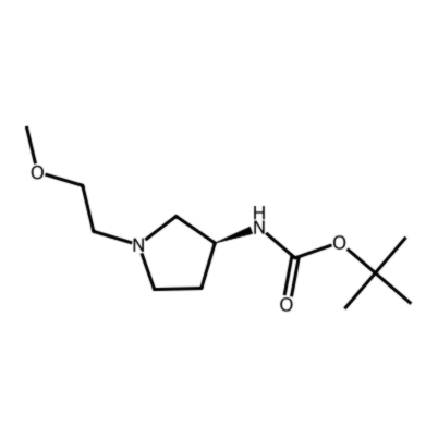 COCCN1CC[C@H](NC(=O)OC(C)(C)C)C1